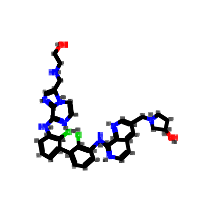 OCCNCc1cnc2c(Nc3cccc(-c4cccc(Nc5nccc6cc(CN7CC[C@@H](O)C7)cnc56)c4Cl)c3Cl)nccn12